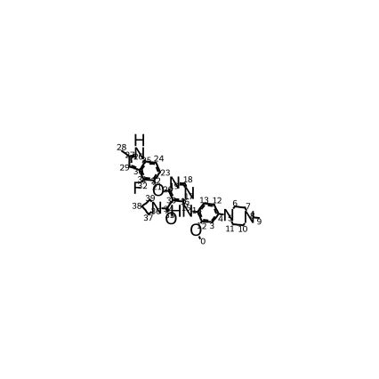 COc1cc(N2CCN(C)CC2)ccc1Nc1ncnc(Oc2ccc3[nH]c(C)cc3c2F)c1C(=O)N1CCC1